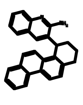 Nc1nc2ccccc2cc1C1CCCc2ccc3c(ccc4ccccc43)c21